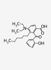 CCCCCCc1c(N(CC)CC)ccc(C(=O)O)c1C(=O)c1ccccc1O